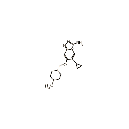 C[C@H]1CC[C@H](COc2cc3nnc(N)n3cc2C2CC2)CC1